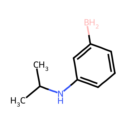 Bc1cccc(NC(C)C)c1